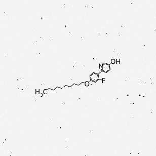 CCCCCCCCCCOc1ccc(-c2ccc(O)cn2)c(F)c1